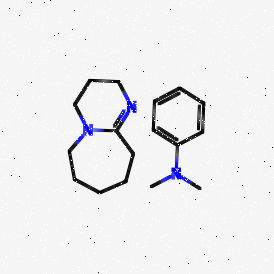 C1CCC2=NCCCN2CC1.CN(C)c1ccccc1